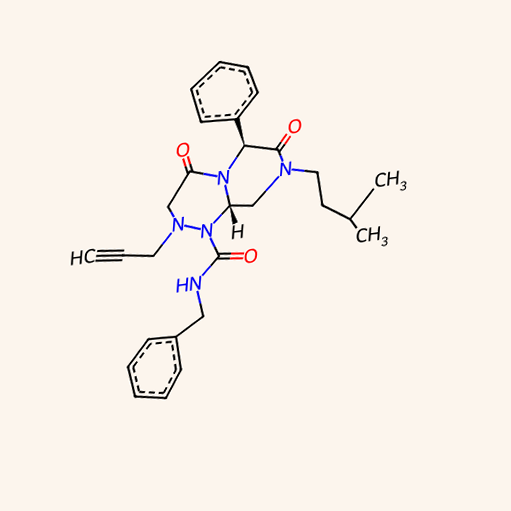 C#CCN1CC(=O)N2[C@@H](c3ccccc3)C(=O)N(CCC(C)C)C[C@@H]2N1C(=O)NCc1ccccc1